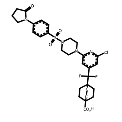 O=C1CCCN1c1ccc(S(=O)(=O)N2CCN(c3cc(C(F)(F)C45CCC(C(=O)O)(CC4)CC5)cc(Cl)n3)CC2)cc1